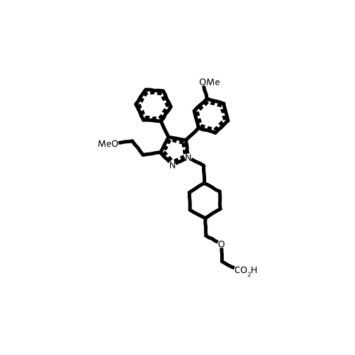 COCCc1nn(CC2CCC(COCC(=O)O)CC2)c(-c2cccc(OC)c2)c1-c1ccccc1